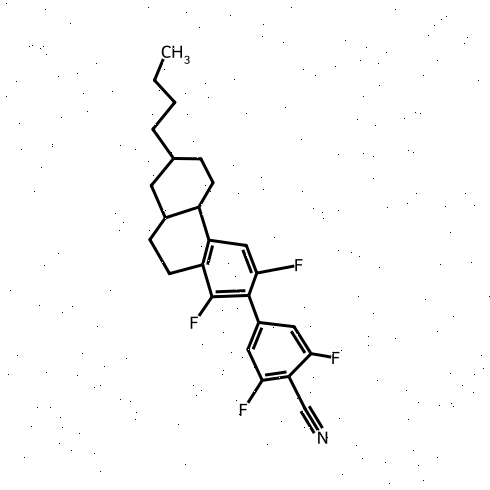 CCCCC1CCC2c3cc(F)c(-c4cc(F)c(C#N)c(F)c4)c(F)c3CCC2C1